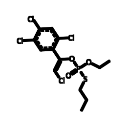 CCCSP(=O)(OCC)OC(=CCl)c1cc(Cl)c(Cl)cc1Cl